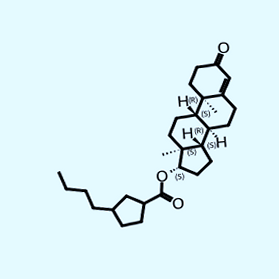 CCCCC1CCC(C(=O)O[C@H]2CC[C@H]3[C@@H]4CCC5=CC(=O)CC[C@]5(C)[C@H]4CC[C@]23C)C1